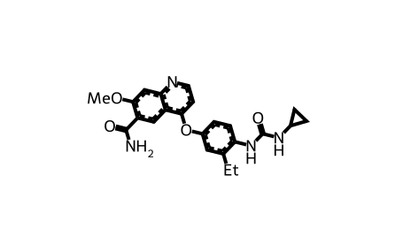 CCc1cc(Oc2ccnc3cc(OC)c(C(N)=O)cc23)ccc1NC(=O)NC1CC1